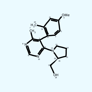 COc1ccc(-c2c(C)ncnc2N2CCC[C@H]2CO)c(C)c1